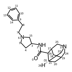 O=C(NC1CCN(CCc2ccccc2)C1)C1C2CC3C[C@@H]1CN(C3)C2